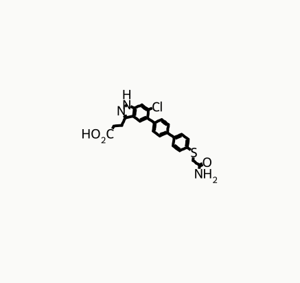 NC(=O)CSc1ccc(-c2ccc(-c3cc4c(CCC(=O)O)n[nH]c4cc3Cl)cc2)cc1